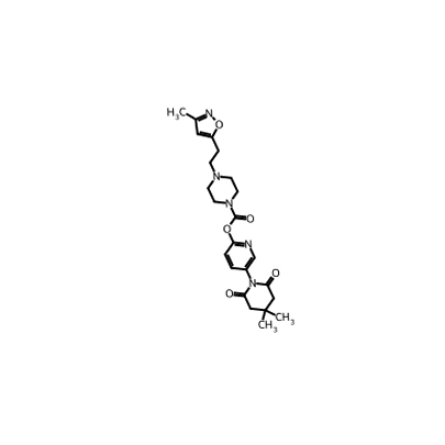 Cc1cc(CCN2CCN(C(=O)Oc3ccc(N4C(=O)CC(C)(C)CC4=O)cn3)CC2)on1